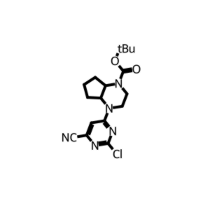 CC(C)(C)OC(=O)N1CCN(c2cc(C#N)nc(Cl)n2)C2CCCC21